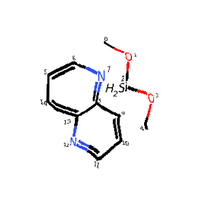 CO[SiH2]OC.c1cnc2cccnc2c1